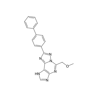 COCc1nc2nc[nH]c2c2nc(-c3ccc(-c4ccccc4)cc3)nn12